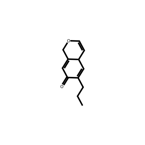 CCCC1=CC2C=COCC2=CC1=O